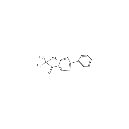 CC(C)(C)C(=O)c1ccc(-c2ccccc2)cc1